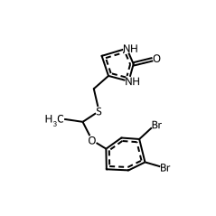 CC(Oc1ccc(Br)c(Br)c1)SCc1c[nH]c(=O)[nH]1